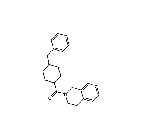 O=C(C1CCN(Cc2ccccc2)CC1)N1CCc2ccccc2C1